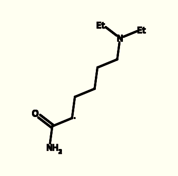 CCN(CC)CCCC[CH]C(N)=O